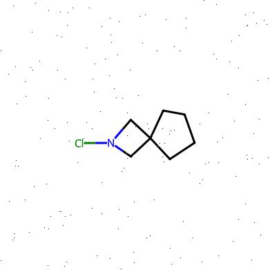 ClN1CC2(CCCC2)C1